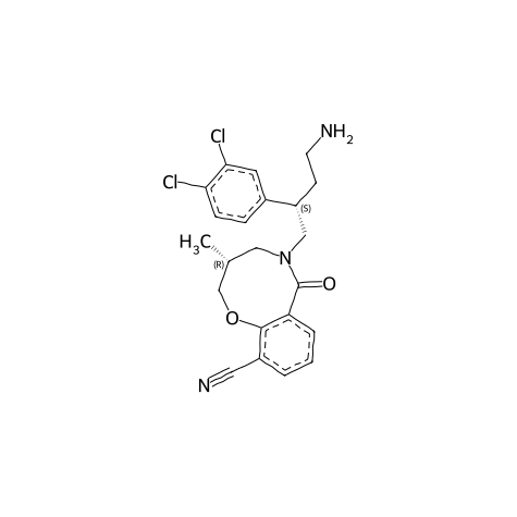 C[C@H]1COc2c(C#N)cccc2C(=O)N(C[C@@H](CCN)c2ccc(Cl)c(Cl)c2)C1